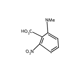 CNc1cc[c]c([N+](=O)[O-])c1C(=O)O